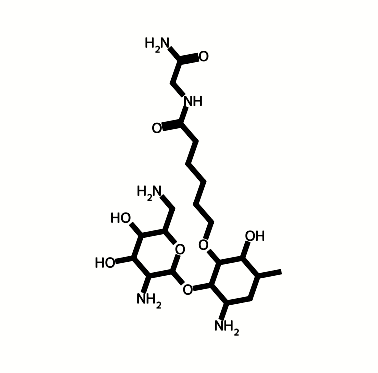 CC1CC(N)C(OC2OC(CN)C(O)C(O)C2N)C(OCCCCCC(=O)NCC(N)=O)C1O